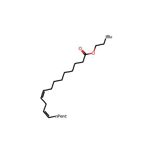 CCCCC/C=C\C/C=C\CCCCCCCC(=O)OCCC(C)(C)C